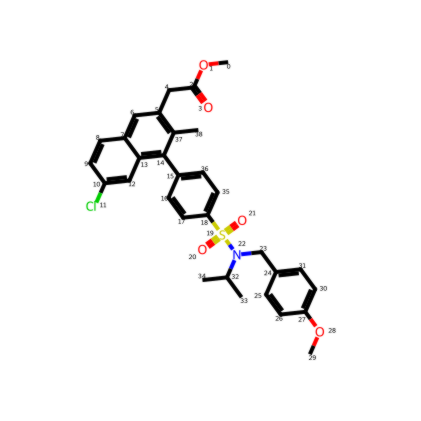 COC(=O)Cc1cc2ccc(Cl)cc2c(-c2ccc(S(=O)(=O)N(Cc3ccc(OC)cc3)C(C)C)cc2)c1C